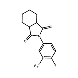 Cc1cc(N2C(=O)C3CCCCC3C2=O)ccc1F